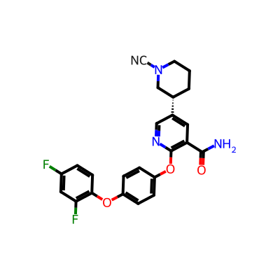 N#CN1CCC[C@H](c2cnc(Oc3ccc(Oc4ccc(F)cc4F)cc3)c(C(N)=O)c2)C1